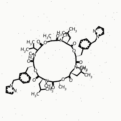 CC(C)C[C@H]1C(=O)O[C@H](Cc2cccc(Cn3cccn3)c2)C(=O)N(C)[C@@H](CC(C)C)C(=O)O[C@H](C)C(=O)N(C)[C@@H](CC(C)C)C(=O)O[C@H](Cc2cccc(Cn3cccn3)c2)C(=O)N(C)C(C(C)C)C(=O)O[C@H](C)C(=O)N1C